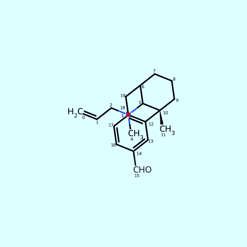 C=CCN(C)C1C2CCC[C@]1(C)c1cc(C=O)ccc1C2